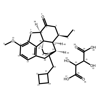 CC[C@@H]1CC(=O)[C@@H]2Oc3c(OC)ccc4c3[C@@]23CCN(CC2CCC2)[C@H](C4)[C@H]13.O=C(O)C(O)C(O)C(=O)O